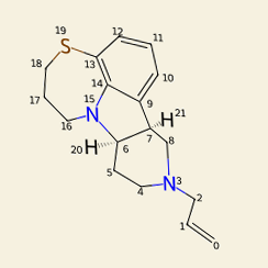 C=CCN1CC[C@@H]2[C@H](C1)c1cccc3c1N2CCCS3